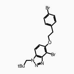 CC(C)(C)Cn1nnc2c(Br)c(OCCc3ccc(Br)cc3)ccc21